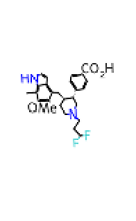 COc1cc(C)c2[nH]ccc2c1C[C@@H]1CCN(CCC(F)F)C[C@H]1c1ccc(C(=O)O)cc1